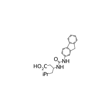 CC(C)CC(CC(=O)O)NC(=O)Nc1ccc2c(c1)Cc1ccccc1-2